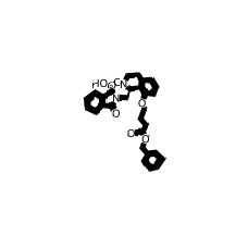 O=C(CCCOc1cccc2c1[C@@H](CN1C(=O)c3ccccc3C1=O)N(C(=O)O)CC2)OCc1ccccc1